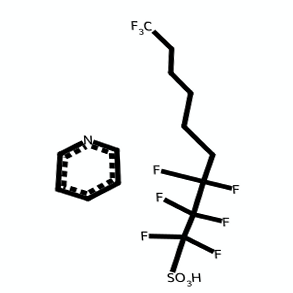 O=S(=O)(O)C(F)(F)C(F)(F)C(F)(F)CCCCCC(F)(F)F.c1ccncc1